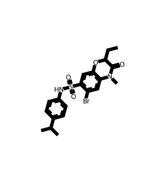 CCC1Oc2cc(S(=O)(=O)Nc3ccc(C(C)C)cc3)c(Br)cc2N(C)C1=O